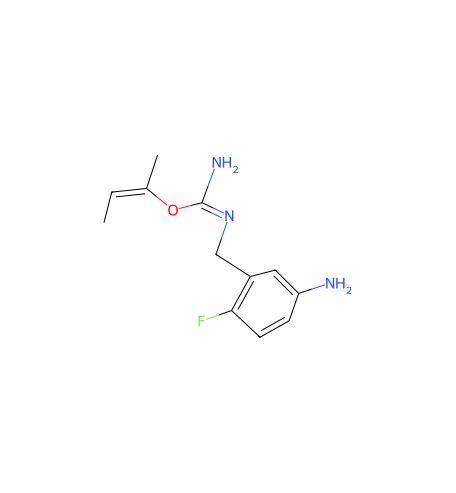 C/C=C(/C)O/C(N)=N\Cc1cc(N)ccc1F